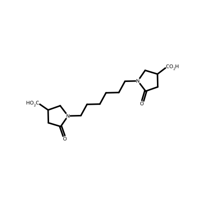 O=C(O)C1CC(=O)N(CCCCCCN2CC(C(=O)O)CC2=O)C1